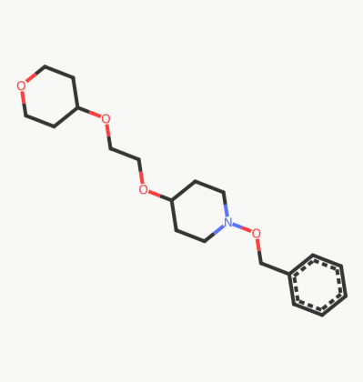 c1ccc(CON2CCC(OCCOC3CCOCC3)CC2)cc1